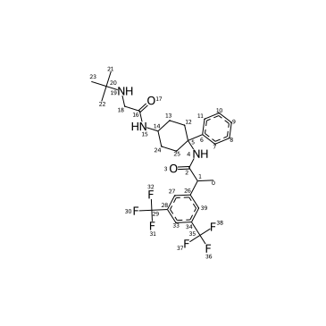 CC(C(=O)NC1(c2ccccc2)CCC(NC(=O)CNC(C)(C)C)CC1)c1cc(C(F)(F)F)cc(C(F)(F)F)c1